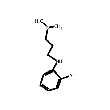 CC(=O)c1ccccc1NCCCN(C)C